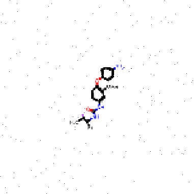 CCC(NC(=O)Nc1ccc(Oc2ccc(N)cc2)c(OC)c1)C(C)I